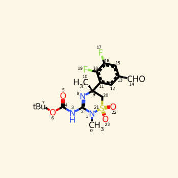 CN1C(NC(=O)OC(C)(C)C)=N[C@](C)(c2cc(C=O)cc(F)c2F)CS1(=O)=O